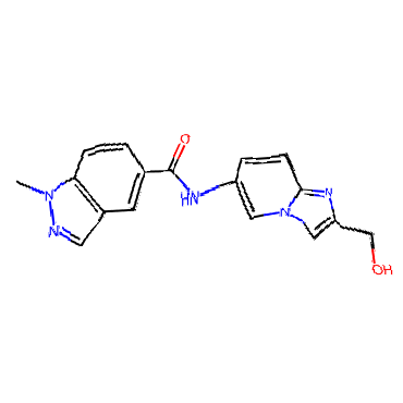 Cn1ncc2cc(C(=O)Nc3ccc4nc(CO)cn4c3)ccc21